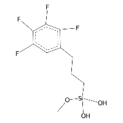 CO[Si](O)(O)CCCc1cc(F)c(F)c(F)c1F